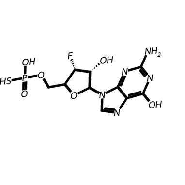 Nc1nc(O)c2ncn(C3OC(COP(=O)(O)S)[C@H](F)[C@@H]3O)c2n1